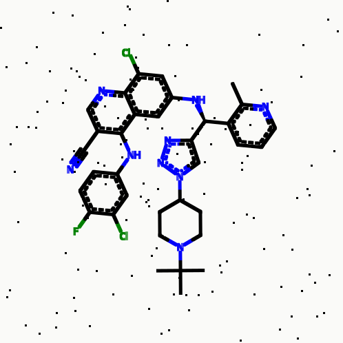 Cc1ncccc1[C@H](Nc1cc(Cl)c2ncc(C#N)c(Nc3ccc(F)c(Cl)c3)c2c1)c1cn(C2CCN(C(C)(C)C)CC2)nn1